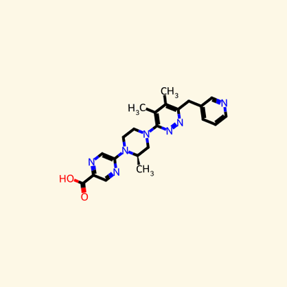 Cc1c(Cc2cccnc2)nnc(N2CCN(c3cnc(C(=O)O)cn3)[C@H](C)C2)c1C